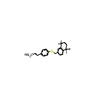 CC1(C)CCC(C)(C)c2cc(CSc3ccc(CCC(=O)O)cc3)ccc21